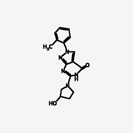 Cc1ccccc1-n1cc2c(=O)[nH]c(N3CCC(O)C3)nc2n1